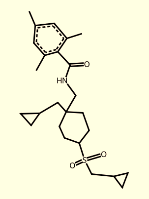 Cc1cc(C)c(C(=O)NCC2(CC3CC3)CCC(S(=O)(=O)CC3CC3)CC2)c(C)c1